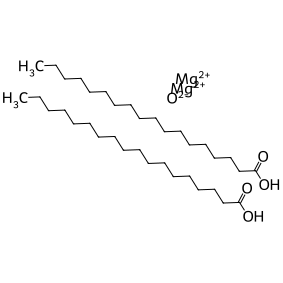 CCCCCCCCCCCCCCCCCC(=O)O.CCCCCCCCCCCCCCCCCC(=O)O.[Mg+2].[Mg+2].[O-2]